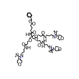 CN(C)/C(=N\CCCNC(=O)CCOCC(COCCC(=O)NCCC/N=C(\N(C)C)N1CCOCC1)(COCCC(=O)NCCC/N=C(\N(C)C)N1CCOCC1)NC(=O)CCCC(=O)OCc1ccccc1)N1CCOCC1